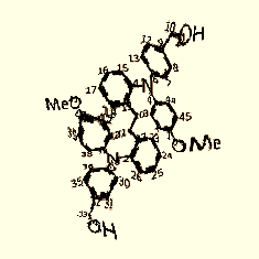 COc1ccc(N(c2ccc(CO)cc2)c2ccccc2CCc2ccccc2N(c2ccc(CO)cc2)c2ccc(OC)cc2)cc1